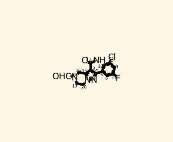 NC(=O)c1c(-c2cc(F)cc(Cl)c2)nn2c1CN(C=O)CC2